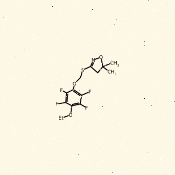 CCOc1c(F)c(F)c(OCSC2=NOC(C)(C)C2)c(F)c1F